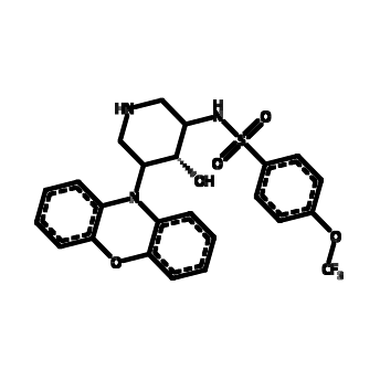 O=S(=O)(NC1CNCC(N2c3ccccc3Oc3ccccc32)[C@H]1O)c1ccc(OC(F)(F)F)cc1